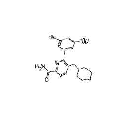 CC(C)(C)c1cc(-c2nc(C(N)=O)ncc2CC2CCCCC2)cc(C(C)(C)C)c1